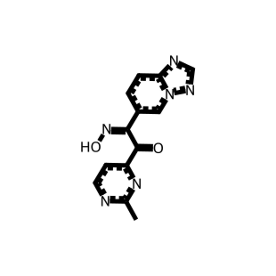 Cc1nccc(C(=O)/C(=N\O)c2ccc3ncnn3c2)n1